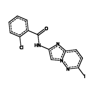 O=C(Nc1cn2nc(I)ccc2n1)c1ccccc1Cl